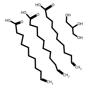 C=CCCCCCCCCC(=O)O.C=CCCCCCCCCC(=O)O.C=CCCCCCCCCC(=O)O.OCC(O)CO